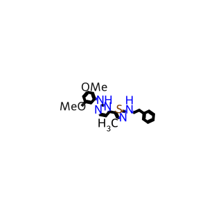 COc1cc(Nc2nccc(-c3sc(NCCc4ccccc4)nc3C)n2)cc(OC)c1